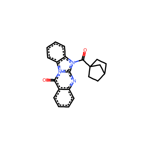 O=C(n1c2ccccc2n2c(=O)c3ccccc3nc12)C12CCC(CC1)C2